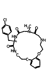 CN1CC(=O)N[C@H](Cc2ccc(Cl)cc2)C(=O)NCCCc2ccccc2OCCNCC1=O